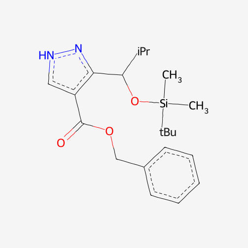 CC(C)C(O[Si](C)(C)C(C)(C)C)c1n[nH]cc1C(=O)OCc1ccccc1